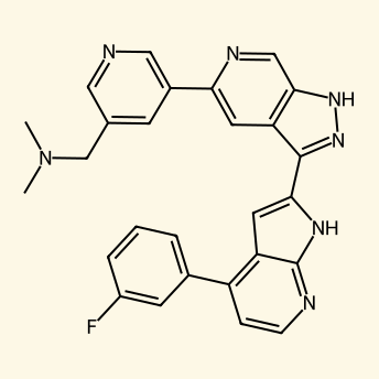 CN(C)Cc1cncc(-c2cc3c(-c4cc5c(-c6cccc(F)c6)ccnc5[nH]4)n[nH]c3cn2)c1